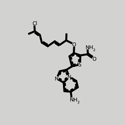 C\C(Cl)=C/C=C\C=C\C(C)Oc1cc(-c2cnc3cc(N)ccn23)sc1C(N)=O